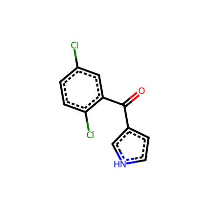 O=C(c1cc[nH]c1)c1cc(Cl)ccc1Cl